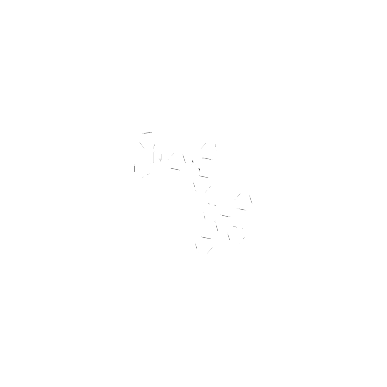 C1=CC2c3ccccc3N(c3ccc(N(c4ccccc4)c4ccc(-c5ccc6c(-c7ccccc7)c7ccccc7c(-c7ccccc7)c6c5)cc4)cc3)C2C=C1